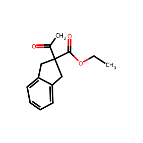 CCOC(=O)C1(C(C)=O)Cc2ccccc2C1